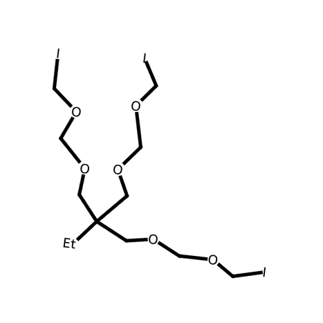 CCC(COCOCI)(COCOCI)COCOCI